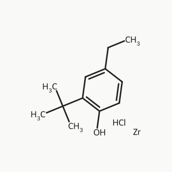 CCc1ccc(O)c(C(C)(C)C)c1.Cl.[Zr]